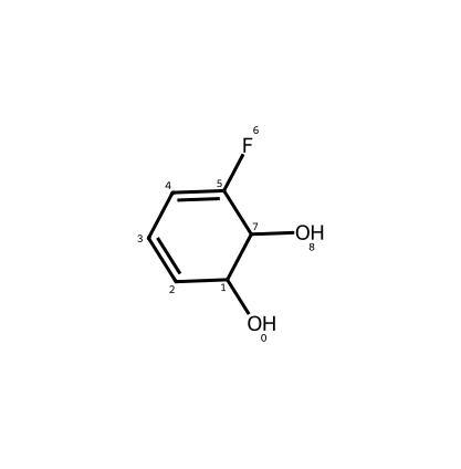 OC1C=CC=C(F)C1O